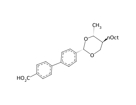 CCCCCCCC[C@H]1CO[C@H](c2ccc(-c3ccc(C(=O)O)cc3)cc2)O[C@@H]1C